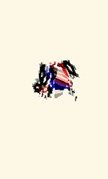 CC(CO)N(C)C(=O)c1nc(CC2(c3ccccc3)CCCC2)nc(O)c1OCc1ccccc1